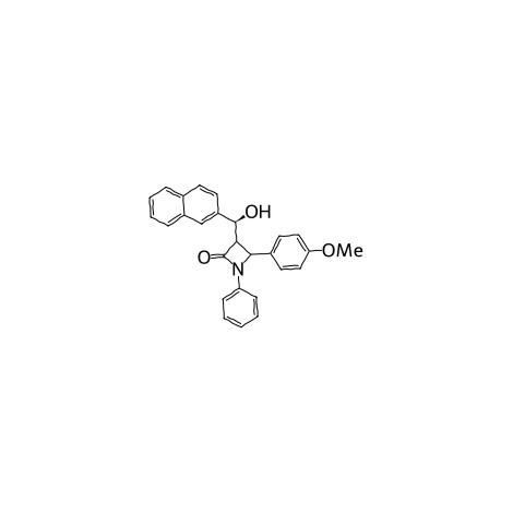 COc1ccc(C2C([C@H](O)c3ccc4ccccc4c3)C(=O)N2c2ccccc2)cc1